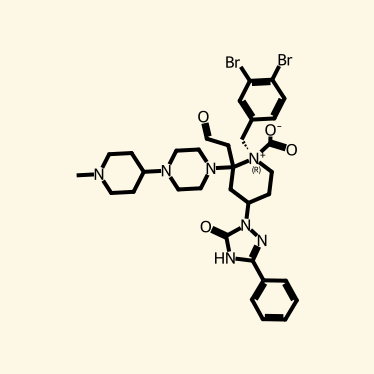 CN1CCC(N2CCN(C3(CC=O)CC(n4nc(-c5ccccc5)[nH]c4=O)CC[N@+]3(Cc3ccc(Br)c(Br)c3)C(=O)[O-])CC2)CC1